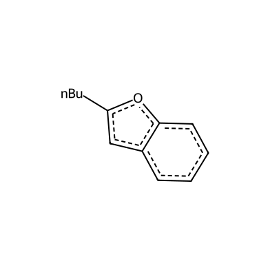 CCCCc1cc2ccccc2o1